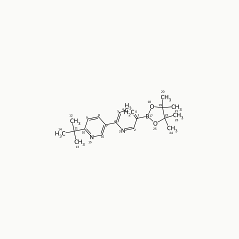 C=C(/C=N\C(=C/C)c1ccc(C(C)(C)C)nc1)B1OC(C)(C)C(C)(C)O1